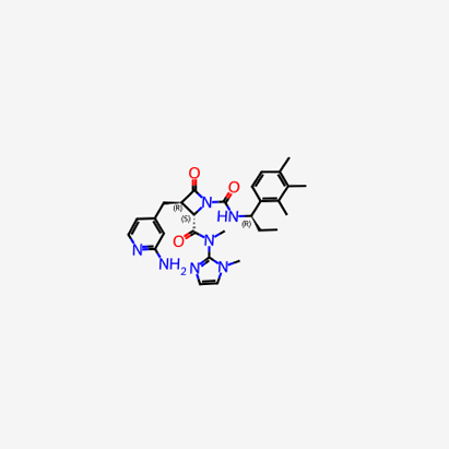 CC[C@@H](NC(=O)N1C(=O)[C@H](Cc2ccnc(N)c2)[C@H]1C(=O)N(C)c1nccn1C)c1ccc(C)c(C)c1C